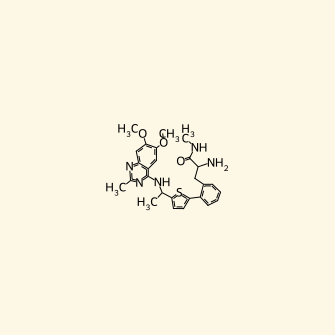 CNC(=O)C(N)Cc1ccccc1-c1ccc(C(C)Nc2nc(C)nc3cc(OC)c(OC)cc23)s1